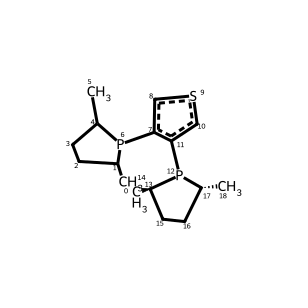 CC1CCC(C)P1c1cscc1P1[C@H](C)CC[C@H]1C